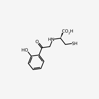 O=C(CN[C@H](CS)C(=O)O)c1ccccc1O